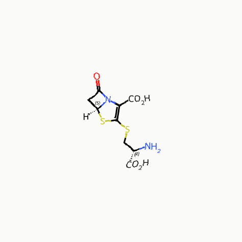 N[C@@H](CSC1=C(C(=O)O)N2C(=O)C[C@@H]2S1)C(=O)O